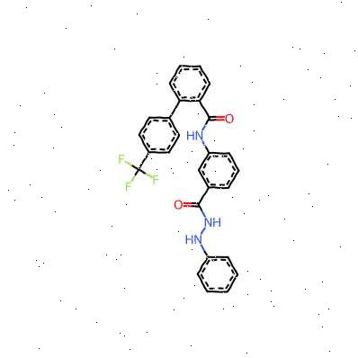 O=C(NNc1ccccc1)c1cccc(NC(=O)c2ccccc2-c2ccc(C(F)(F)F)cc2)c1